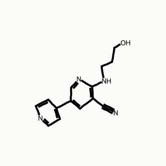 N#Cc1cc(-c2ccncc2)cnc1NCCCO